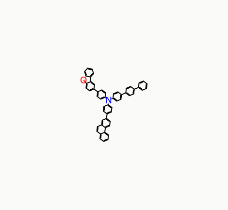 c1ccc(-c2ccc(-c3ccc(N(c4ccc(-c5ccc6c(ccc7ccccc76)c5)cc4)c4ccc(-c5ccc6oc7ccccc7c6c5)cc4)cc3)cc2)cc1